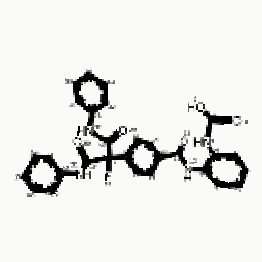 O=C(O)Nc1ccccc1NC(=O)c1ccc(C(F)(C(=O)Nc2ccccc2)C(=O)Nc2ccccc2)cc1